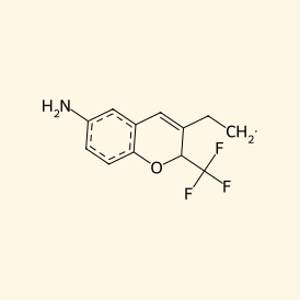 [CH2]CC1=Cc2cc(N)ccc2OC1C(F)(F)F